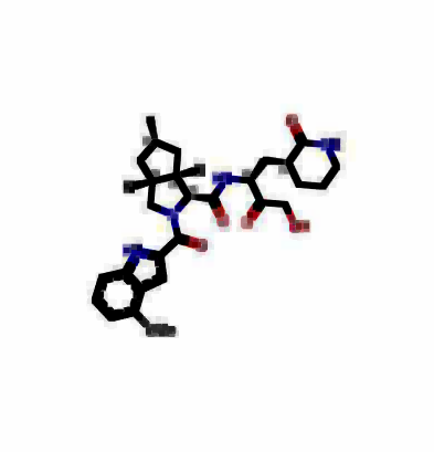 COc1cccc2[nH]c(C(=O)N3C[C@@H]4C[C@@H](C)C[C@@H]4[C@H]3C(=O)N[C@@H](C[C@@H]3CCCNC3=O)C(=O)CO)cc12